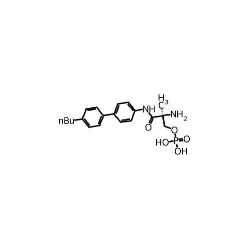 CCCCc1ccc(-c2ccc(NC(=O)[C@@](C)(N)COP(=O)(O)O)cc2)cc1